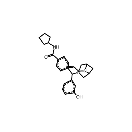 C=CCN1C2CC1CN(C(c1ccc(C(=O)NC3CCCC3)cc1)c1cccc(O)c1)C2